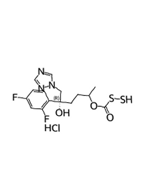 CC(CC[C@](O)(Cn1cncn1)c1ccc(F)cc1F)OC(=O)SS.Cl